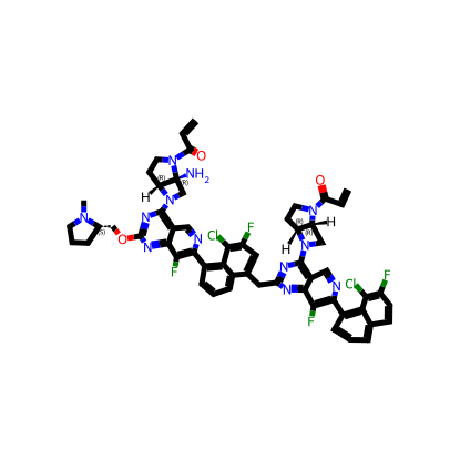 C=CC(=O)N1CC[C@@H]2[C@H]1CN2c1nc(Cc2cc(F)c(Cl)c3c(-c4ncc5c(N6C[C@]7(N)[C@H]6CCN7C(=O)C=C)nc(OC[C@@H]6CCCN6C)nc5c4F)cccc23)nc2c(F)c(-c3cccc4ccc(F)c(Cl)c34)ncc12